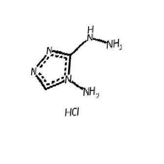 Cl.NNc1nncn1N